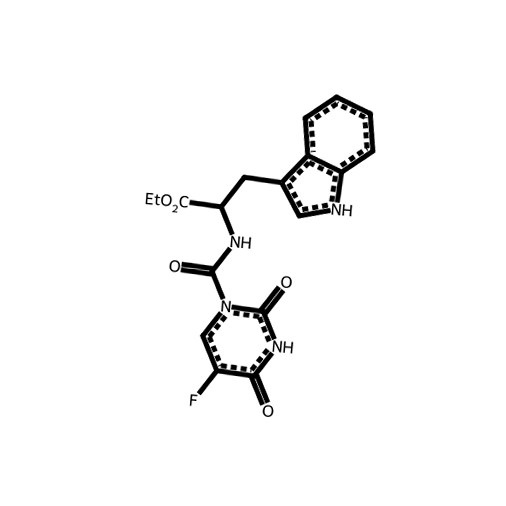 CCOC(=O)C(Cc1c[nH]c2ccccc12)NC(=O)n1cc(F)c(=O)[nH]c1=O